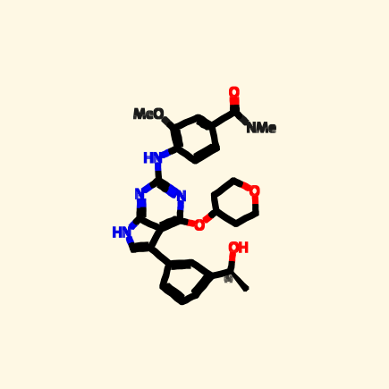 CNC(=O)c1ccc(Nc2nc(OC3CCOCC3)c3c(-c4cccc([C@H](C)O)c4)c[nH]c3n2)c(OC)c1